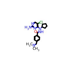 CN(C)Cc1ccc(C(=O)NN(c2nc(N)ncc2Cl)C2CCCC2)cc1